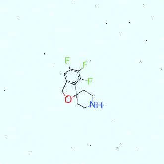 Fc1cc2c(c(F)c1F)C1(CCNCC1)OC2